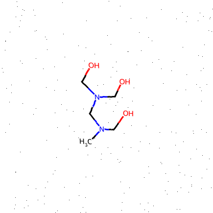 CN(CO)CN(CO)CO